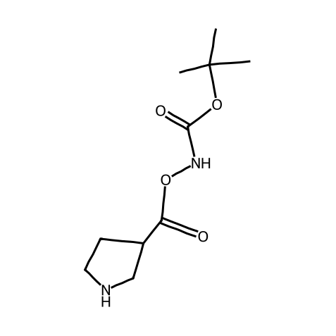 CC(C)(C)OC(=O)NOC(=O)C1CCNC1